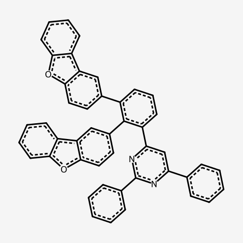 c1ccc(-c2cc(-c3cccc(-c4ccc5oc6ccccc6c5c4)c3-c3ccc4oc5ccccc5c4c3)nc(-c3ccccc3)n2)cc1